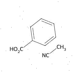 CC#N.O=C(O)c1ccccc1